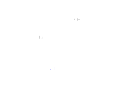 Nc1ccc(CC(=O)O)cc1.[Hg]